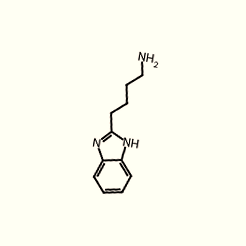 NCCCCc1nc2ccccc2[nH]1